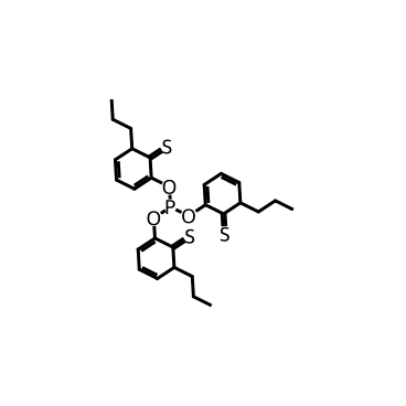 CCCC1C=CC=C(OP(OC2=CC=CC(CCC)C2=S)OC2=CC=CC(CCC)C2=S)C1=S